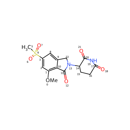 COc1cc(S(C)(=O)=O)cc2c1C(=O)N(C1CCC(=O)NC1=O)C2